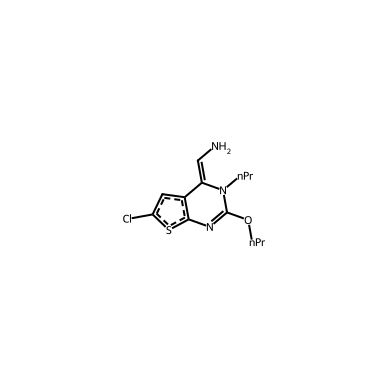 CCCOC1=Nc2sc(Cl)cc2C(=CN)N1CCC